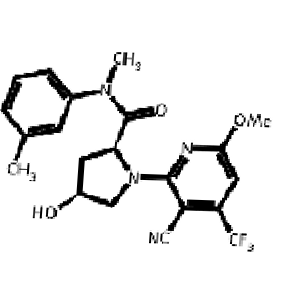 COc1cc(C(F)(F)F)c(C#N)c(N2C[C@@H](O)C[C@H]2C(=O)N(C)c2cccc(C)c2)n1